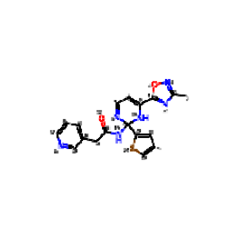 Cc1noc(C2=CC=NC(NC(=O)Cc3cccnc3)(c3cccs3)N2)n1